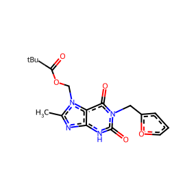 Cc1nc2[nH]c(=O)n(Cc3ccco3)c(=O)c2n1COC(=O)C(C)(C)C